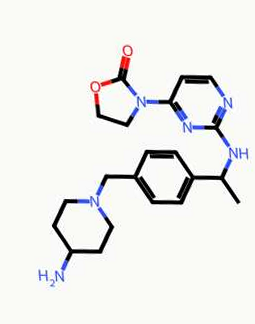 CC(Nc1nccc(N2CCOC2=O)n1)c1ccc(CN2CCC(N)CC2)cc1